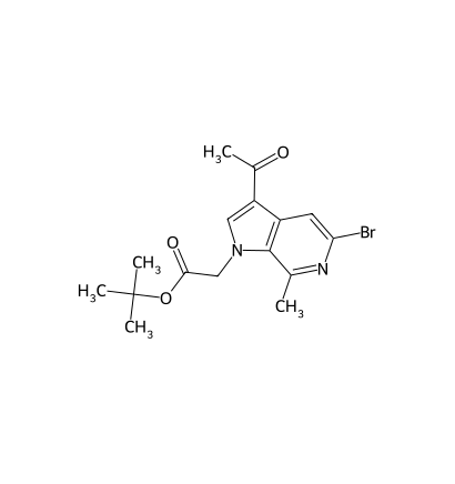 CC(=O)c1cn(CC(=O)OC(C)(C)C)c2c(C)nc(Br)cc12